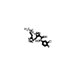 CN(C)CCc1nnnn1Cc1nonc1C(=N)N(O)c1ccc(F)c(Cl)c1